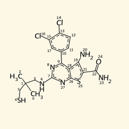 CC(C)(CS)CNc1nc(-c2ccc(Cl)c(Cl)c2)c2c(N)c(C(N)=O)sc2n1